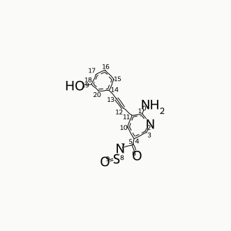 Nc1ncc(C(=O)N=S=O)cc1C#Cc1cccc(O)c1